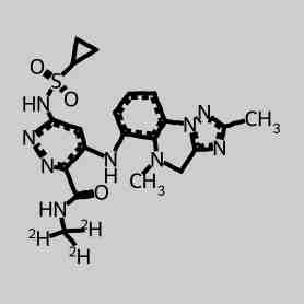 [2H]C([2H])([2H])NC(=O)c1nnc(NS(=O)(=O)C2CC2)cc1Nc1cccc2c1N(C)Cc1nc(C)nn1-2